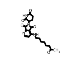 CC(=O)CCCCCCNc1ccnc2c1C(=O)N(C1CCC(=O)NC1=O)C2=O